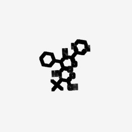 CC(C)(C)[C@H](NC(=O)[C@H](NC(=O)c1cnccn1)C1CCCCC1)C(=O)O